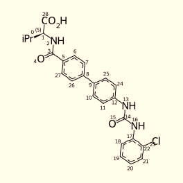 CC(C)[C@H](NC(=O)c1ccc(-c2ccc(NC(=O)Nc3ccccc3Cl)cc2)cc1)C(=O)O